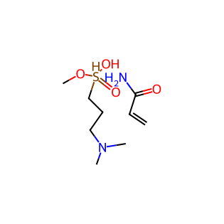 C=CC(N)=O.CO[SH](=O)(O)CCCN(C)C